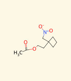 CC(=O)OCCC1(C[N+](=O)[O-])CCC1